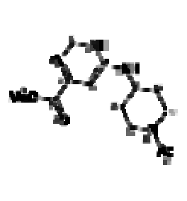 COC(=O)C1=NCNC(NC2CCN(C(C)=O)CC2)=C1